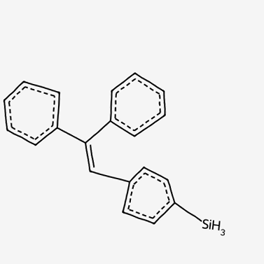 [SiH3]c1ccc(C=C(c2ccccc2)c2ccccc2)cc1